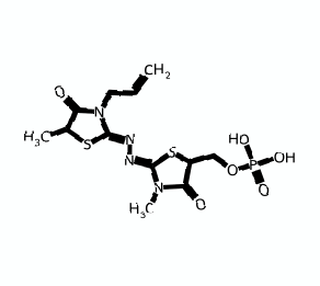 C=CCN1C(=O)C(C)SC1=NN=C1SC(COP(=O)(O)O)C(=O)N1C